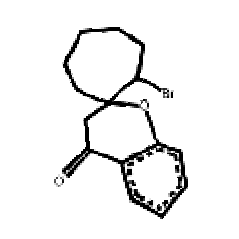 O=C1CC2(CCCCCC2Br)Oc2ccccc21